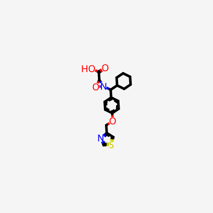 O=C(O)C1ON1C(c1ccc(OCc2cscn2)cc1)C1CCCCC1